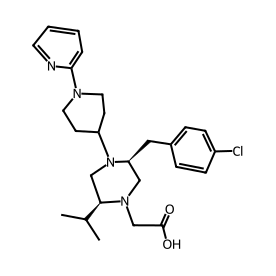 CC(C)[C@H]1CN(C2CCN(c3ccccn3)CC2)[C@@H](Cc2ccc(Cl)cc2)CN1CC(=O)O